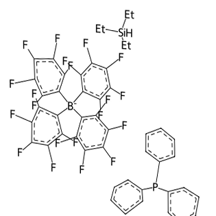 CC[SiH](CC)CC.Fc1c(F)c(F)c([B-](c2c(F)c(F)c(F)c(F)c2F)(c2c(F)c(F)c(F)c(F)c2F)c2c(F)c(F)c(F)c(F)c2F)c(F)c1F.c1ccc(P(c2ccccc2)c2ccccc2)cc1